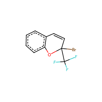 FC(F)(F)C1(Br)C=Cc2ccccc2O1